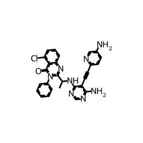 CC(Nc1ncnc(N)c1C#Cc1ccc(N)cn1)c1nc2cccc(Cl)c2c(=O)n1-c1ccccc1